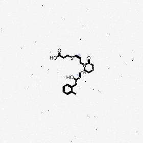 Cc1ccccc1CC(O)/C=C/[C@H]1CCCC(=O)N1C/C=C\SCCC(=O)O